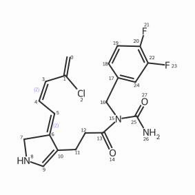 C=C(Cl)/C=C\C=C1/CNC=C1CCC(=O)N(Cc1ccc(F)c(F)c1)C(N)=O